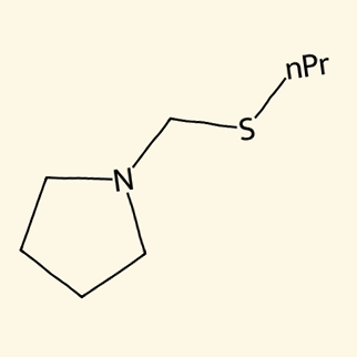 CCCSCN1CCCC1